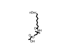 CCCCCCCCCCCCCCCCCC(=O)NC(C)(C)CCOC(=O)C(C)O